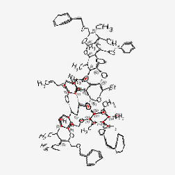 C=CCO[C@H]1OC(CO[C@@H]2OC(COCc3ccccc3)[C@@H](C)C(C)[C@@H]2O)[C@@H](O[C@@H]2OC(COCc3ccccc3)[C@@H](C)C(C)[C@@H]2O[C@H]2OC(CC)[C@@H](O[C@@H]3OC(COCc4ccccc4)[C@H](O[C@H]4OC(COCc5ccccc5)[C@H](C)C(C)[C@@H]4C)C(C)[C@@H]3OCc3ccccc3)C(C)[C@@H]2N=[N+]=[N-])C(O[C@@H]2OC(CC)[C@@H](C)C(C)[C@@H]2OCc2ccccc2)[C@@H]1C